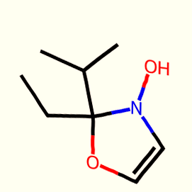 CCC1(C(C)C)OC=CN1O